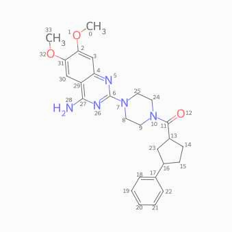 COc1cc2nc(N3CCN(C(=O)C4CCC(c5ccccc5)C4)CC3)nc(N)c2cc1OC